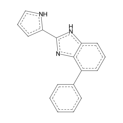 c1ccc(-c2cccc3[nH]c(-c4ccc[nH]4)nc23)cc1